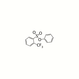 O=S(=O)(Oc1ccccc1)c1ccccc1C(F)(F)F